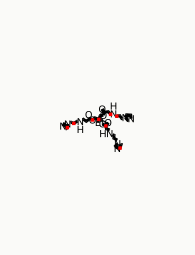 CCC(COC(=O)CCNCCCn1ccnc1)(COC(=O)CCNCCCn1ccnc1)COC(=O)CCNCCCn1ccnc1